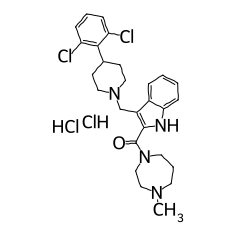 CN1CCCN(C(=O)c2[nH]c3ccccc3c2CN2CCC(c3c(Cl)cccc3Cl)CC2)CC1.Cl.Cl